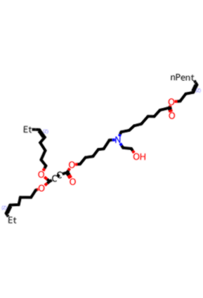 CC/C=C\CCCCOC(CCC(=O)OCCCCCCN(CCO)CCCCCCCC(=O)OCC/C=C\CCCCC)OCCCC/C=C\CC